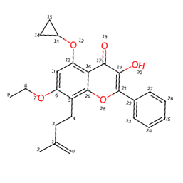 C=C(C)CCc1c(OCC)cc(OC2CC2)c2c(=O)c(O)c(-c3ccccc3)oc12